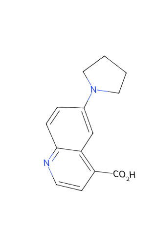 O=C(O)c1ccnc2ccc(N3CCCC3)cc12